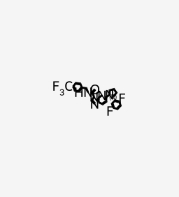 O=C(NCc1ccc(C(F)(F)F)cc1)n1cnc2ccc(N3CCC[C@@H]3c3cc(F)ccc3F)nc21